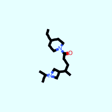 CCC1CCN(C(=O)CCC(C)C2CN(C(C)C)C2)CC1